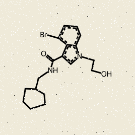 O=C(NCC1CCCCC1)c1cn(CCO)c2cccc(Br)c12